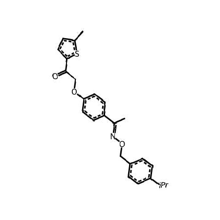 C/C(=N\OCc1ccc(C(C)C)cc1)c1ccc(OCC(=O)c2ccc(C)s2)cc1